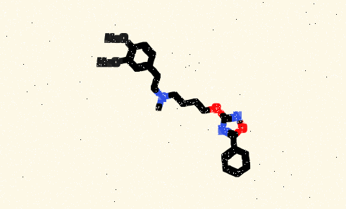 COc1ccc(CCN(C)CCCCOc2noc(-c3ccccc3)n2)cc1OC